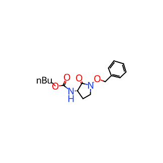 CCCCOC(=O)N[C@H]1CCN(OCc2ccccc2)C1=O